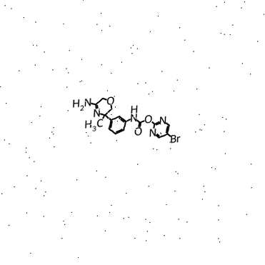 CC1(c2cccc(NC(=O)Oc3ncc(Br)cn3)c2)COCC(N)=N1